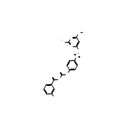 COc1cc(NS(=O)(=O)c2ccc(NC(=S)NC(=O)c3cccc(C)c3)cc2)nc(OC)n1